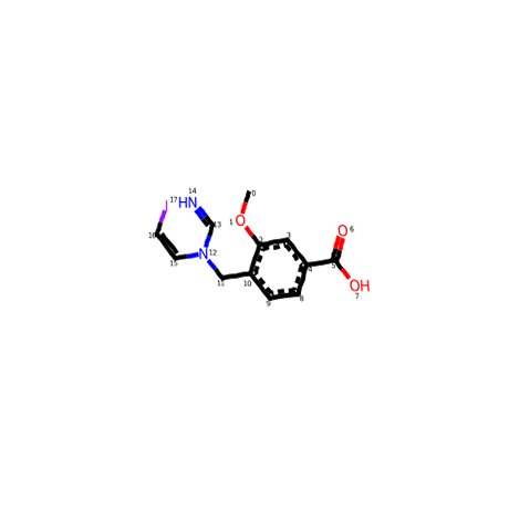 COc1cc(C(=O)O)ccc1CN(C=N)/C=C\I